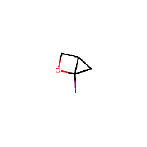 IC12CC1CO2